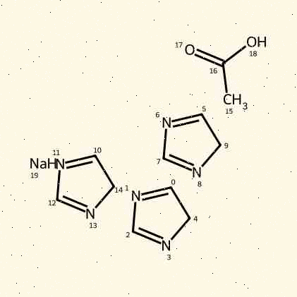 C1=NC=NC1.C1=NC=NC1.C1=NC=NC1.CC(=O)O.[NaH]